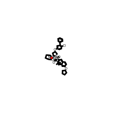 CC(C)(C)OC(=O)NC1CC2CCC(C1)N2C(=O)[C@@H]1C[C@H](Oc2ccc(Cl)c(-c3ccccc3)c2)CN1S(=O)(=O)c1ccc2cc(OC3CCCC3)ccc2c1